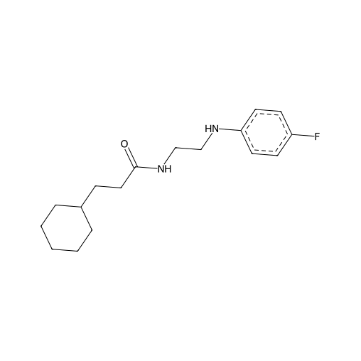 O=C(CCC1CCCCC1)NCCNc1ccc(F)cc1